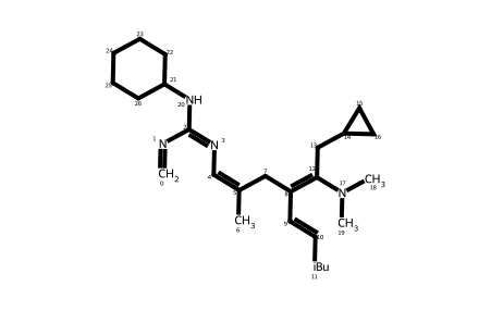 C=N/C(=N\C=C(\C)CC(/C=C/C(C)CC)=C(\CC1CC1)N(C)C)NC1CCCCC1